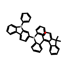 CC1(C)c2ccccc2-c2c(-c3ccccc3N(c3ccccc3)c3ccc4c5ccccc5n(-c5ccccc5)c4c3)cccc21